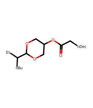 CCCCCCCCCCCC(=O)OC1COC(C(CC)CCCC)OC1